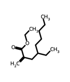 C=C(CC(CC)CCCCC)C(=O)OCC